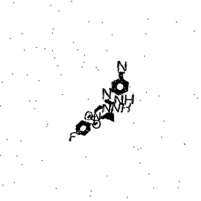 N#Cc1ccc2c(c1)N=CC(NC1CC1)(N1CCN(S(=O)(=O)c3ccc(F)cc3)CC1)N2